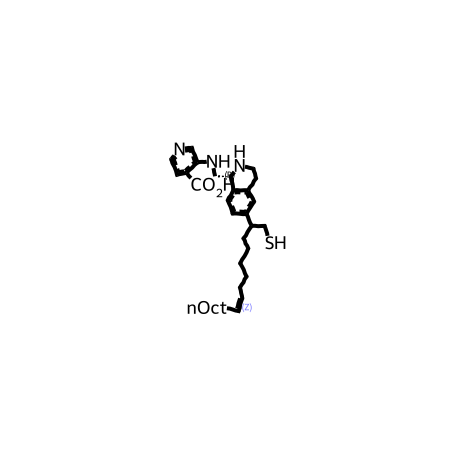 CCCCCCCC/C=C\CCCCCC(CS)c1ccc2c(c1)CCN[C@H]2CNc1cnccc1C(=O)O